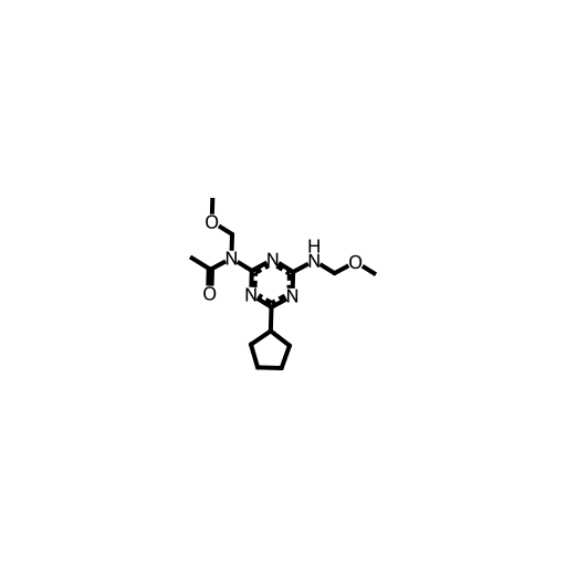 COCNc1nc(C2CCCC2)nc(N(COC)C(C)=O)n1